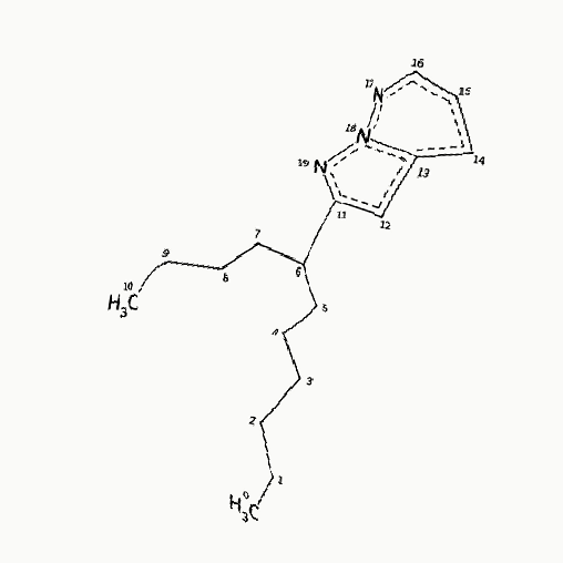 CCCCCCC(CCCC)c1cc2cccnn2n1